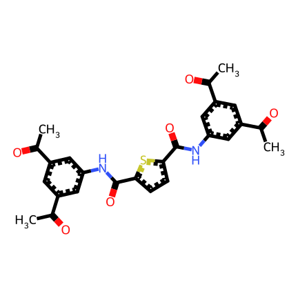 CC(=O)c1cc(NC(=O)c2ccc(C(=O)Nc3cc(C(C)=O)cc(C(C)=O)c3)s2)cc(C(C)=O)c1